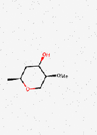 CO[C@H]1CO[C@@H](C)C[C@H]1O